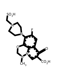 CN1COc2c(N3CCN(CS(=O)(=O)O)CC3)c(F)cc3c(=O)c(C(=O)O)cn1c23